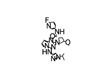 CO[C@@H]1C[C@@H](C(=O)Nc2ccc(F)nc2)N(c2nc(Nc3cn(C(C)C)cn3)n3cccc3n2)C1